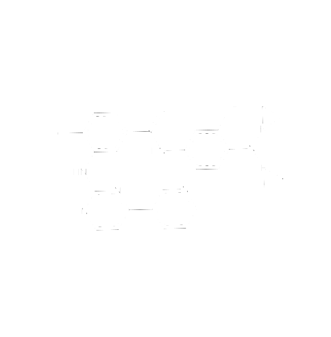 Cc1ccc(C(=O)Nc2ccc(N(B3CO3)B3CO3)c(C(F)(F)F)c2)cc1Nc1nccc(-c2cccnc2)n1